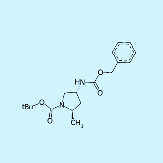 C[C@@H]1C[C@@H](NC(=O)OCc2ccccc2)CN1C(=O)OC(C)(C)C